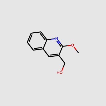 COc1nc2ccccc2cc1CO